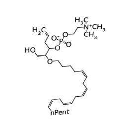 C=CCC(OP(=O)([O-])OCC[N+](C)(C)C)[C@H](CO)OCCCC/C=C\C/C=C\C/C=C\C/C=C\CCCCC